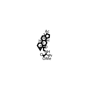 COC(=O)[C@@H](NCC(=O)O[C@]12CC[C@@]3(C)[C@@H](CC[C@@H]4[C@@H]3CC[C@]3(C)[C@@H](C(C)=O)CC[C@@H]43)C1C2)C(C)C